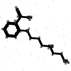 CCCNCCCOc1ccccc1C(=O)O